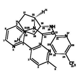 Cc1ccc(-c2ncccn2)c(C(=O)N2[C@@H]3CC[C@H]2[C@H](Nc2ccc(C(F)(F)F)cn2)C3)n1